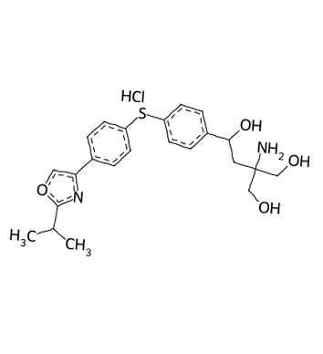 CC(C)c1nc(-c2ccc(Sc3ccc(C(O)CC(N)(CO)CO)cc3)cc2)co1.Cl